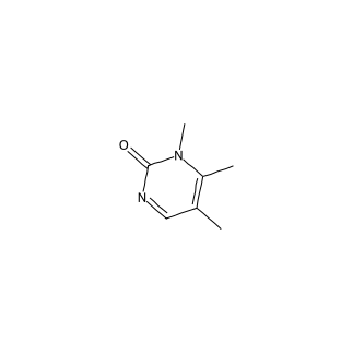 Cc1cnc(=O)n(C)c1C